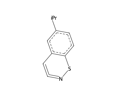 CC(C)c1ccc2c(c1)C=C=NS2